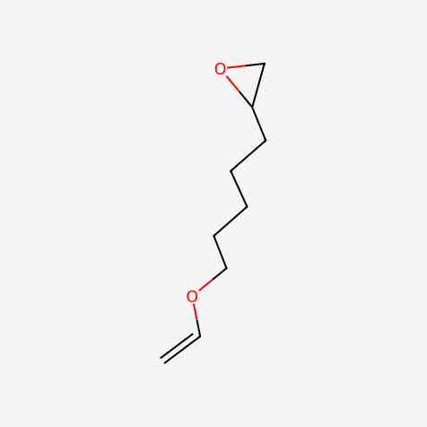 C=COCCCCCC1CO1